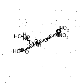 C#CCNC(=O)CCOCC(COCCC(=O)NCC#C)NC(=O)COCCOCCOCCNc1ccc([N+](=O)[O-])cc1[N+](=O)[O-]